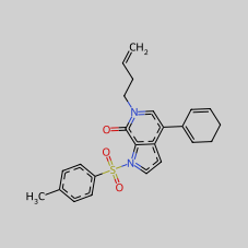 C=CCCn1cc(C2=CCCC=C2)c2ccn(S(=O)(=O)c3ccc(C)cc3)c2c1=O